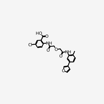 Cc1ccc(-c2ccoc2)cc1NC(=O)COCC(=O)Nc1ccc(Cl)cc1C(=O)O